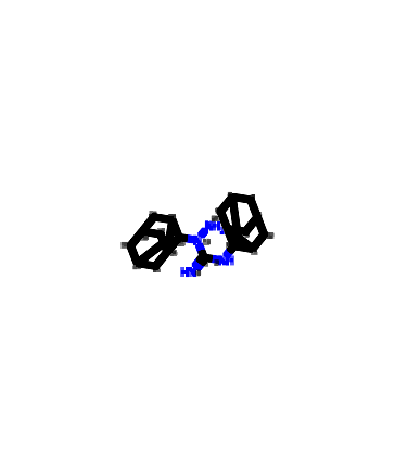 N=C(NC1C2CC3CC(C2)CC1C3)N(N)C1C2CC3CC(C2)CC1C3